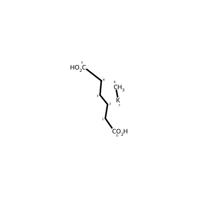 O=C(O)CCCCC(=O)O.[CH3][K]